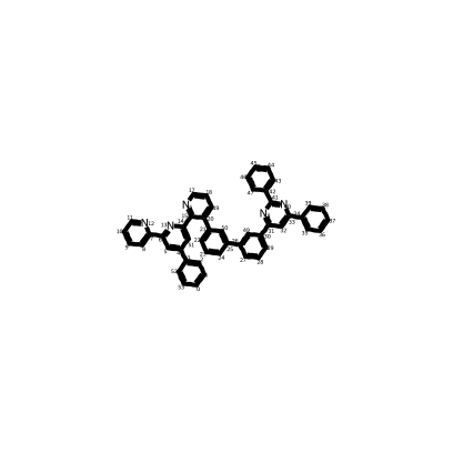 c1ccc(-c2cc(-c3ccccn3)nc(-c3ncccc3-c3cccc(-c4cccc(-c5cc(-c6ccccc6)nc(-c6ccccc6)n5)c4)c3)c2)cc1